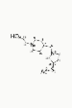 CC(=O)S[C@@H]1CCN(CC2CCN(CCO)CC2)C1